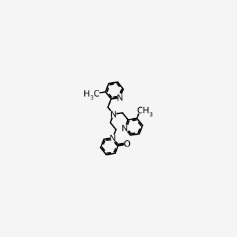 Cc1cccnc1CN(CCn1ccccc1=O)Cc1ncccc1C